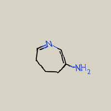 NC1=CN=CCCC1